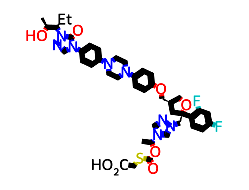 CC[C@@H]([C@H](C)O)n1ncn(-c2ccc(N3CCN(c4ccc(OC[C@@H]5CO[C@@](Cn6c[n+](C(C)OC(=O)SCC(=O)O)cn6)(c6ccc(F)cc6F)C5)cc4)CC3)cc2)c1=O